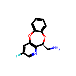 NC[C@@H]1Oc2ccccc2Oc2cc(F)cnc21